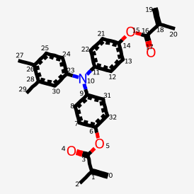 C=C(C)C(=O)Oc1ccc(N(c2ccc(OC(=O)C(=C)C)cc2)c2ccc(C)c(C)c2)cc1